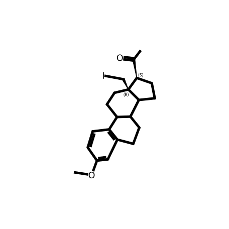 COc1ccc2c(c1)CCC1C2CC[C@@]2(CI)C1CC[C@@H]2C(C)=O